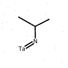 CC(C)[N]=[Ta]